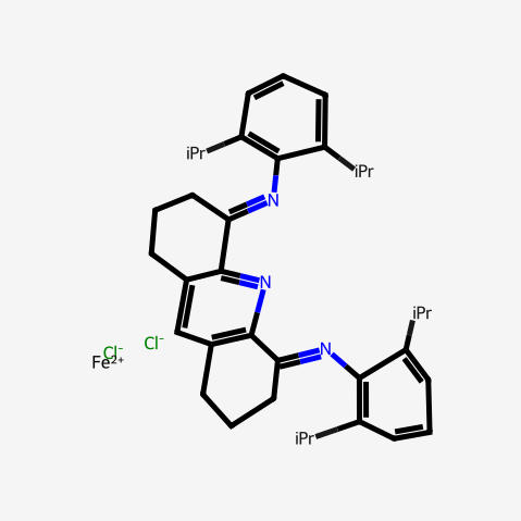 CC(C)c1cccc(C(C)C)c1N=C1CCCc2cc3c(nc21)C(=Nc1c(C(C)C)cccc1C(C)C)CCC3.[Cl-].[Cl-].[Fe+2]